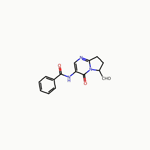 O=CC1CCc2ncc(NC(=O)c3ccccc3)c(=O)n21